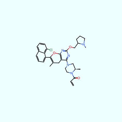 C=CC(=O)N1CCN(c2nc(OCC3CCCN3C)nc3c2CC(C)=C(c2cccc4cccc(Cl)c24)O3)C[C@H]1C